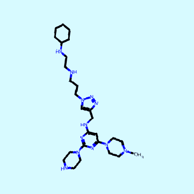 CN1CCN(c2cc(NCc3cn(CCCNCCNC4CCCCC4)nn3)nc(N3CCNCC3)n2)CC1